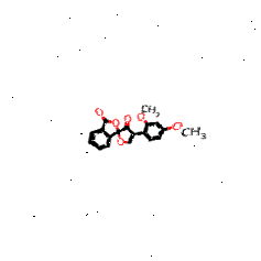 COc1ccc(C2=COC3(OC(=O)c4ccccc43)C2=O)c(OC)c1